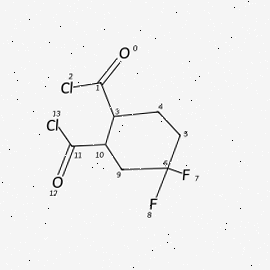 O=C(Cl)C1CCC(F)(F)CC1C(=O)Cl